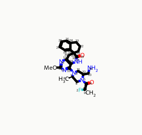 C=C(F)C(=O)N1C[C@@H](C)N(c2nc(OC)nc3c2NC(=O)C2(CCCc4ccccc42)C3)CC1CN